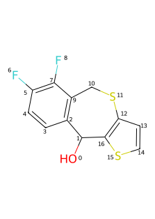 OC1c2ccc(F)c(F)c2CSc2ccsc21